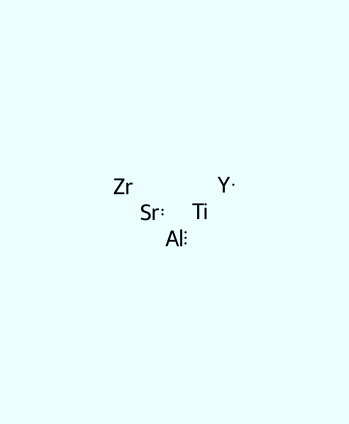 [Al].[Sr].[Ti].[Y].[Zr]